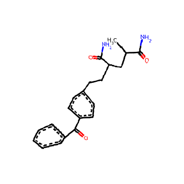 CC(CC(CCc1ccc(C(=O)c2ccccc2)cc1)C(N)=O)C(N)=O